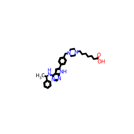 CC(Nc1ncnc2[nH]c(-c3ccc(CN4CCN(CCCCCCC(=O)O)CC4)cc3)cc12)c1ccccc1